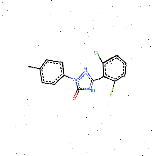 Cc1ccc(-n2nc(-c3c(F)cccc3Cl)[nH]c2=O)cc1